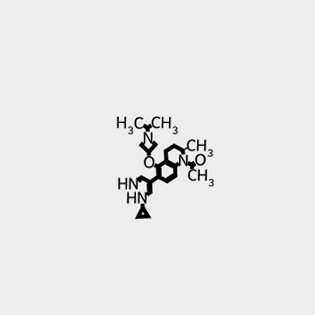 CC(=O)N1c2ccc(/C(C=N)=C/NC3CC3)c(OC3CN(C(C)C)C3)c2CC[C@@H]1C